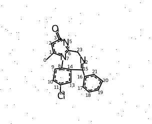 Cc1cc(=O)nc2n1-c1ccc(Cl)cc1C(c1ccccc1)=NC2